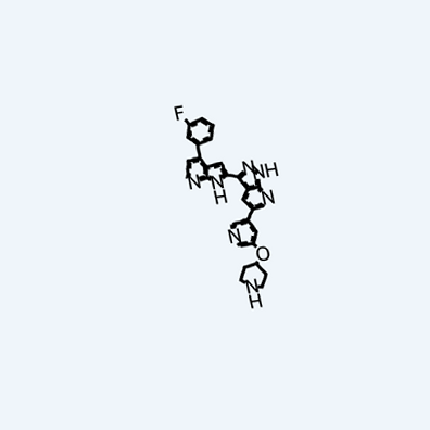 Fc1cccc(-c2ccnc3[nH]c(-c4n[nH]c5ncc(-c6cncc(OC7CCNCC7)c6)cc45)cc23)c1